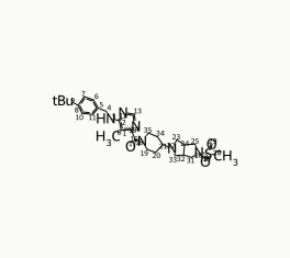 Cc1c(NCc2ccc(C(C)(C)C)cc2)ncnc1C(=O)N1CCC(N2CC3CN(S(C)(=O)=O)CC3C2)CC1